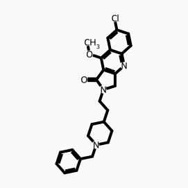 COc1c2c(nc3ccc(Cl)cc13)CN(CCC1CCN(Cc3ccccc3)CC1)C2=O